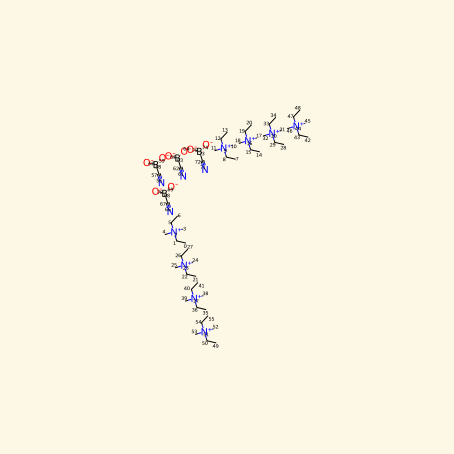 CC[N+](C)(C)CC.CC[N+](C)(C)CC.CC[N+](C)(C)CC.CC[N+](C)(C)CC.CC[N+](C)(C)CC.CC[N+](C)(C)CC.CC[N+](C)(C)CC.CC[N+](C)(C)CC.N#CB([O-])[O-].N#CB([O-])[O-].N#CB([O-])[O-].N#CB([O-])[O-]